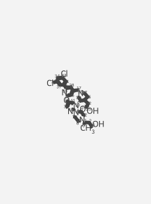 CC(CCO)N1CCN(c2ncc(Oc3cc(CN4CCC(CC(=O)O)CC4)cc(-c4cc(Cl)cc(Cl)c4)n3)cn2)CC1